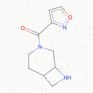 O=C(c1ccon1)N1CCC2CNC2C1